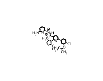 CC(C)Oc1cc(-c2ccc(C(=O)NS(=O)(=O)c3cccc(N)n3)c(N3[C@H](C)CC[C@@H]3C)n2)ccc1Cl